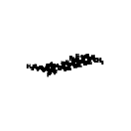 CCCCc1ccc(COC2CCC(c3ccc(C4CCC(CC)CC4)c(F)c3F)CC2)c(F)c1F